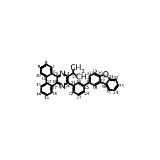 CC(C)c1nc2c3ccccc3c3ccccc3c2nc1-c1cccc(-c2ccc3oc4ccccc4c3c2)c1